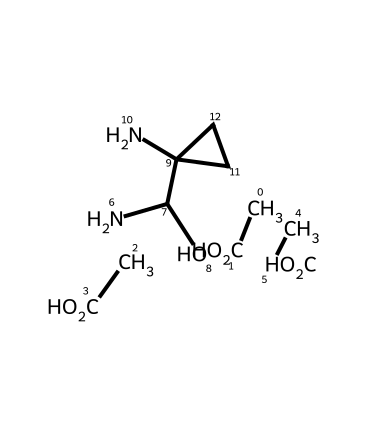 CC(=O)O.CC(=O)O.CC(=O)O.NC(O)C1(N)CC1